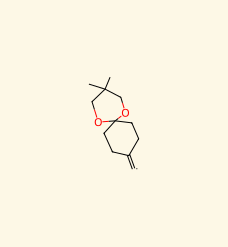 [CH]=C1CCC2(CC1)OCC(C)(C)CO2